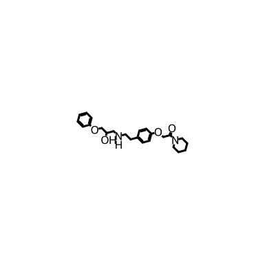 O=C(COc1ccc(CCNCC(O)COc2ccccc2)cc1)N1CCCCC1